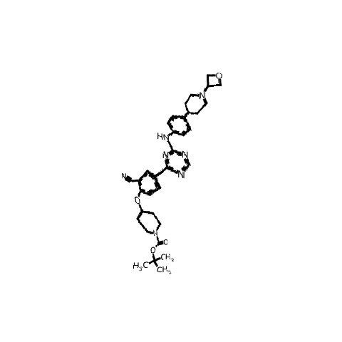 CC(C)(C)OC(=O)N1CCC(Oc2ccc(-c3ncnc(Nc4ccc(C5CCN(C6COC6)CC5)cc4)n3)cc2C#N)CC1